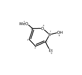 CCC1=CC=C(OC)OB1O